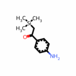 C[Si](C)(C)CC(=O)c1ccc(N)cc1